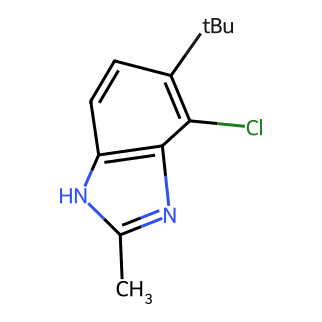 Cc1nc2c(Cl)c(C(C)(C)C)ccc2[nH]1